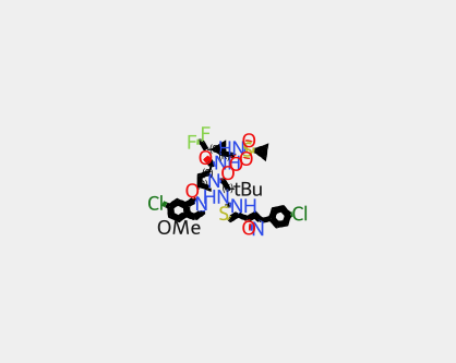 COc1cnc(O[C@@H]2C[C@@H](C(=O)N[C@]3(C(=O)NS(=O)(=O)C4CC4)C[C@H]3CC(F)F)N(C(=O)[C@@H](NC3NC(c4cc(-c5ccc(Cl)cc5)no4)=CS3)C(C)(C)C)C2)c2cc(Cl)ccc12